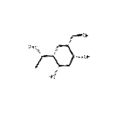 C[C@H](C=O)[C@@H]1C[C@H](CO)[C@H](O)C[C@@H]1O